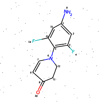 Nc1cc(F)c(N2C=CC(=O)CC2)c(F)c1